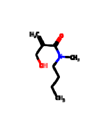 C=C(CO)C(=O)N(C)CCCC